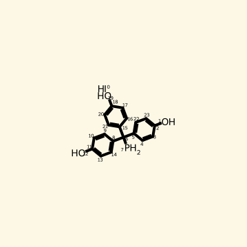 I.Oc1ccc(C(P)(c2ccc(O)cc2)c2ccc(O)cc2)cc1